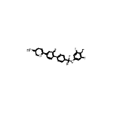 CCCC1CCC(c2ccc(-c3ccc(C(F)(F)Oc4cc(F)c(F)c(F)c4)cc3)c(F)c2)OC1